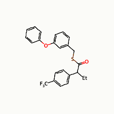 CCC(C(=O)SCc1cccc(Oc2ccccc2)c1)c1ccc(C(F)(F)F)cc1